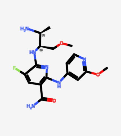 COC[C@@H](Nc1nc(Nc2ccnc(OC)c2)c(C(N)=O)cc1F)[C@H](C)N